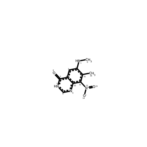 CBc1cc2c(=O)[nH]cnc2c([N+](=O)[O-])c1C